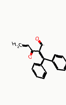 C=CC(=O)C([C]=O)=C(c1ccccc1)c1ccccc1